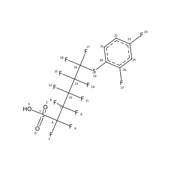 O=S(=O)(O)C(F)(F)C(F)(F)C(F)(F)C(F)(F)C(F)(F)Sc1ccc(F)cc1F